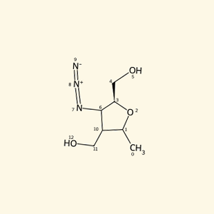 CC1O[C@H](CO)C(N=[N+]=[N-])C1CO